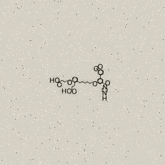 O=C(O)CCCOc1cccc(CCCCCCOc2cc(C(=O)N3CCNCC3)cc(-c3ccc4c(c3)OCO4)c2)c1CCC(=O)O